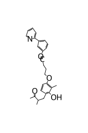 CC(=O)C(C)Cc1ccc(OCCCCOc2cccc(-c3ccccn3)c2)c(C)c1O